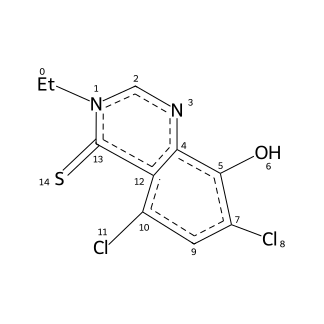 CCn1cnc2c(O)c(Cl)cc(Cl)c2c1=S